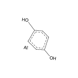 Oc1ccc(O)cc1.[Al]